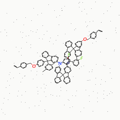 C=Cc1ccc(COc2ccc(C3(c4cc(C)ccc4C)c4ccccc4-c4ccc(/C(=C/c5ccc6c(c5)C5(c7ccccc7-6)c6ccccc6-c6ccc(N(c7cccc(F)c7)c7ccc8c(c7)C(c7ccc(OCc9ccc(C=C)cc9)cc7)(c7cc(C)ccc7C)c7ccccc7-8)cc65)c5cccc(F)c5)cc43)cc2)cc1